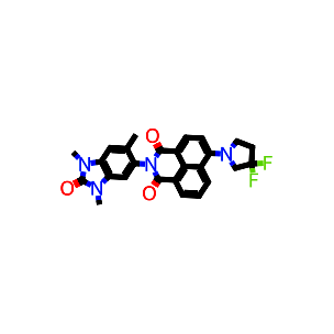 Cc1cc2c(cc1N1C(=O)c3cccc4c(N5CCC(F)(F)C5)ccc(c34)C1=O)n(C)c(=O)n2C